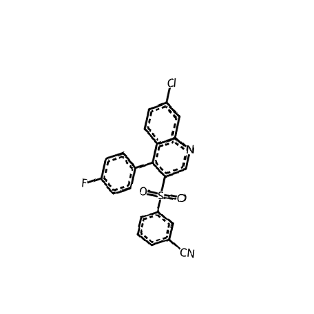 N#Cc1cccc(S(=O)(=O)c2cnc3cc(Cl)ccc3c2-c2ccc(F)cc2)c1